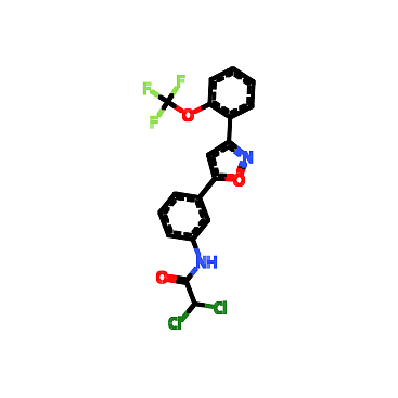 O=C(Nc1cccc(-c2cc(-c3ccccc3OC(F)(F)F)no2)c1)C(Cl)Cl